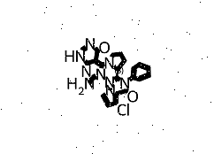 Nc1nc(N2CCC[C@H]2c2nn3ccc(Cl)c3c(=O)n2-c2ccccc2)c2c(=O)nc[nH]c2n1